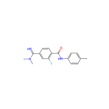 Cc1ccc(NC(=O)c2ccc(C(=N)N(C)C)cc2F)cc1